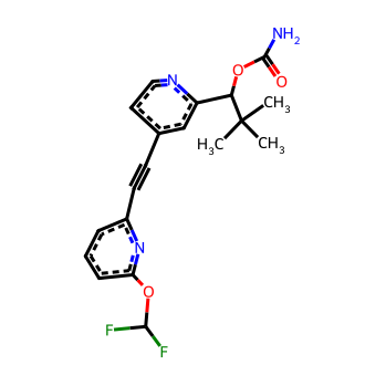 CC(C)(C)C(OC(N)=O)c1cc(C#Cc2cccc(OC(F)F)n2)ccn1